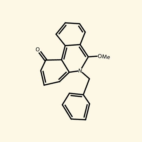 COc1c2ccccc2c2c(=O)cccc-2n1Cc1ccccc1